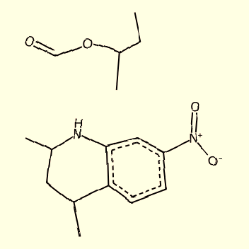 CC1CC(C)c2ccc([N+](=O)[O-])cc2N1.CCC(C)OC=O